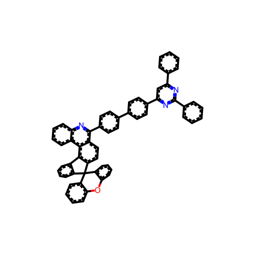 c1ccc(-c2cc(-c3ccc(-c4ccc(-c5nc6ccccc6c6c7c(ccc56)C5(c6ccccc6Oc6ccccc65)c5ccccc5-7)cc4)cc3)nc(-c3ccccc3)n2)cc1